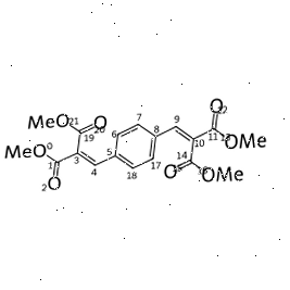 COC(=O)C(=Cc1ccc(C=C(C(=O)OC)C(=O)OC)cc1)C(=O)OC